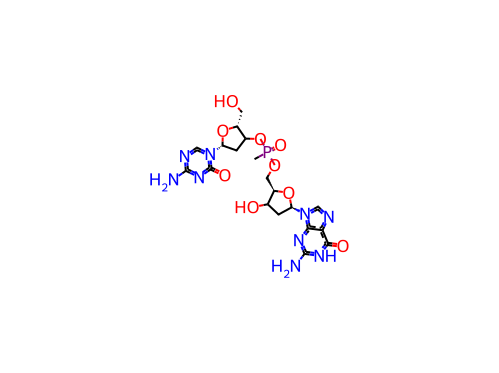 CP(=O)(OC[C@H]1O[C@@H](n2cnc3c(=O)[nH]c(N)nc32)CC1O)OC1C[C@H](n2cnc(N)nc2=O)O[C@@H]1CO